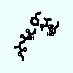 C=C(C)C(=O)OC.C=CC(=O)NC(=O)C=CC(=C)C(=O)OCC.C=Cc1ccccc1.C=O.CCCCO